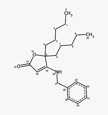 CCCCCC1(CCCCC)OC(=O)C=C1NCc1ccccc1